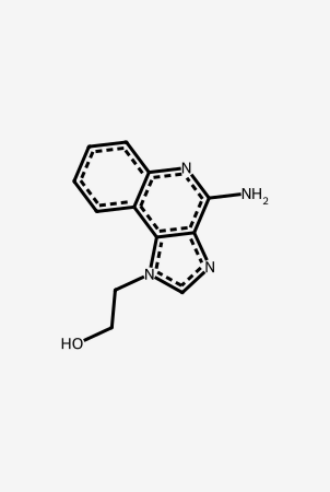 Nc1nc2ccccc2c2c1ncn2CCO